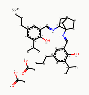 CC(=O)[O-].CC(=O)[O-].CCCc1cc(C=NC2CC3CCC2(N=Cc2cc(CCC)cc(C(C)C)c2O)C3)c(O)c(C(C)C)c1.[Co+2]